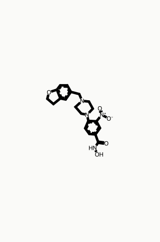 O=C(NO)c1ccc(N2CCN(Cc3ccc4c(c3)CCO4)CC2)c([N+](=O)[O-])c1